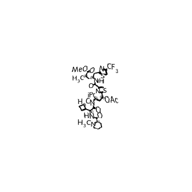 COC(=O)[C@@H](C)C[C@H](Cc1nc(C(F)(F)F)cs1)NC(=O)c1csc([C@@H](C[C@H](C(C)C)N(C)C(=O)[C@@H](NC(=O)[C@H]2CCCCN2C)C2CCC2)OC(C)=O)n1